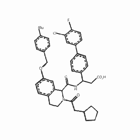 CC(C)(C)c1ccc(COc2ccc3c(c2)C(C(=O)NC(CC(=O)O)c2ccc(-c4ccc(F)c(Cl)c4)cc2)N(C(=O)CC2CCCC2)CC3)cc1